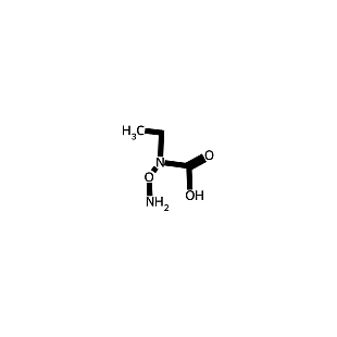 CCN(ON)C(=O)O